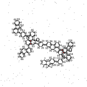 CC1(C)c2ccccc2-c2ccc(-c3cccc(N(c4ccc(-c5cccc6c5ccc5cc(-c7ccc8c(c7)oc7c(-c9ccccc9N(c9ccc(-c%10cccc%11c%10C(C)(C)c%10ccccc%10-%11)cc9)c9ccc(-c%10cccc%11c%10ccc%10ccccc%10%11)cc9)cccc78)ccc56)cc4)c4ccccc4-c4cccc5c4oc4ccccc45)c3)cc21